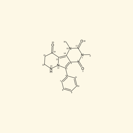 Cn1c(=O)c2c(-c3ccccc3)n3c(c2n(C)c1=O)C(=O)CCN3